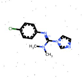 CN(C)/C(=N\c1ccc(Cl)cc1)n1ccnc1